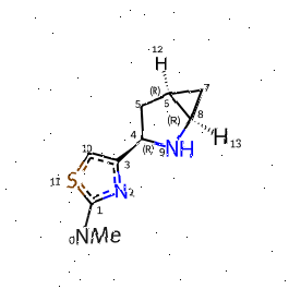 CNc1nc([C@H]2C[C@H]3C[C@H]3N2)cs1